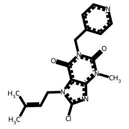 CC(C)=CCn1c(Cl)nc2c1c(=O)n(Cc1ccncc1)c(=O)n2C